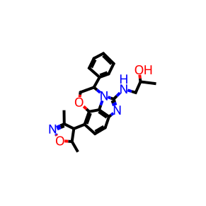 CC1=NOC(C)C1c1ccc2nc(NCC(C)O)n3c2c1OCC3c1ccccc1